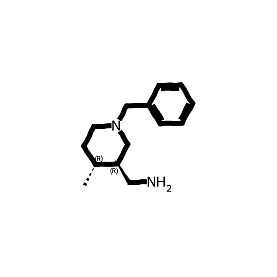 C[C@@H]1CCN(Cc2ccccc2)C[C@H]1CN